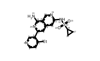 CCc1ccncc1-c1cc2cc(NS(=O)(=O)C3CC3)ncc2c(N)n1